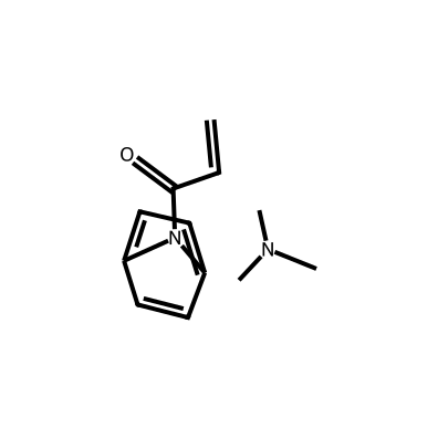 C=CC(=O)n1c2ccc1cc2.CN(C)C